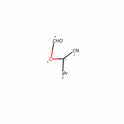 CC(C)C(C#N)OC=O